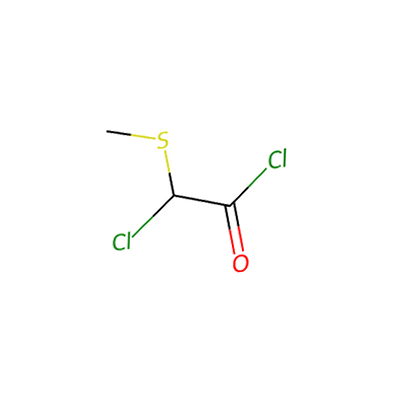 CSC(Cl)C(=O)Cl